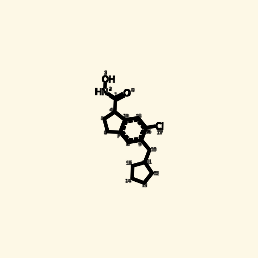 O=C(NO)C1CCc2cc(CC3CCCC3)c(Cl)cc21